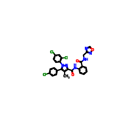 Cc1c(C(=O)Nc2ccccc2C(=O)NCc2ncon2)nn(-c2ccc(Cl)cc2Cl)c1-c1ccc(Cl)cc1